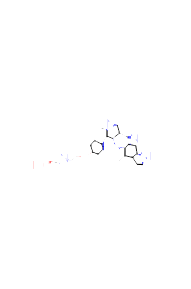 Cc1ncc(C#N)c(Nc2ccc3[nH]ccc3c2C)c1-c1ccc(OCCNCCO)cc1